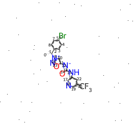 C[C@H](c1ccc(Br)cc1)[n+]1cc([N-]C(=O)Nc2cncc(C(F)(F)F)c2)on1